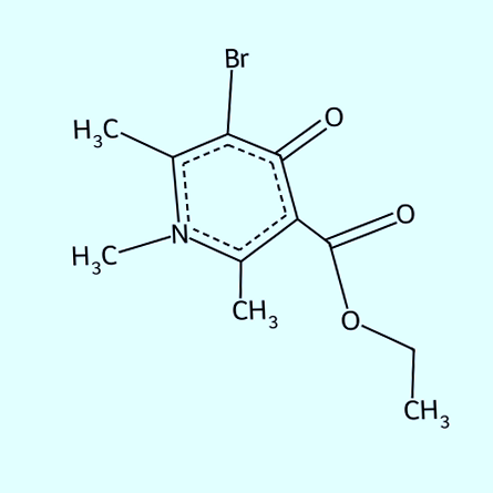 CCOC(=O)c1c(C)n(C)c(C)c(Br)c1=O